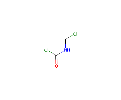 O=C(Cl)NCCl